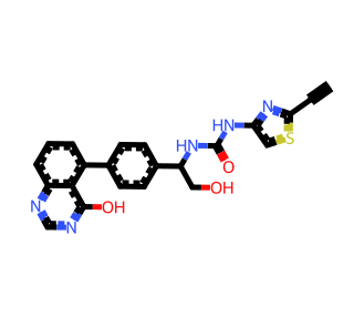 C#Cc1nc(NC(=O)NC(CO)c2ccc(-c3cccc4ncnc(O)c34)cc2)cs1